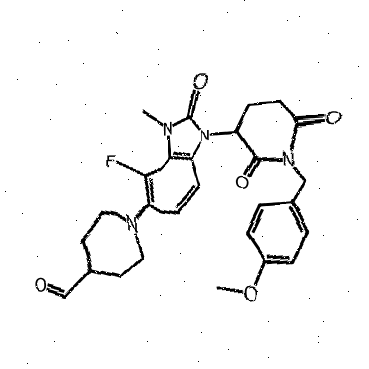 COc1ccc(CN2C(=O)CCC(n3c(=O)n(C)c4c(F)c(N5CCC(C=O)CC5)ccc43)C2=O)cc1